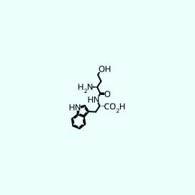 N[C@@H](CCO)C(=O)N[C@@H](Cc1c[nH]c2ccccc12)C(=O)O